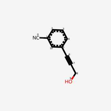 N#Cc1cccc(C#CCO)c1